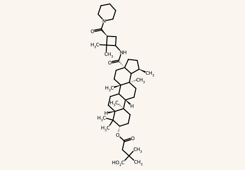 C[C@@H]1CC[C@]2(C(=O)NC3C[C@H](C(=O)N4CCCCC4)C3(C)C)CC[C@@]3(C)C4CC[C@H]5C(C)(C)[C@@H](OC(=O)CC(C)(C)C(=O)O)CC[C@]5(C)[C@H]4CC[C@]3(C)C12